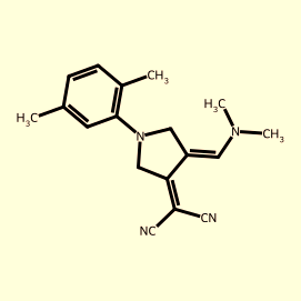 Cc1ccc(C)c(N2CC(=CN(C)C)C(=C(C#N)C#N)C2)c1